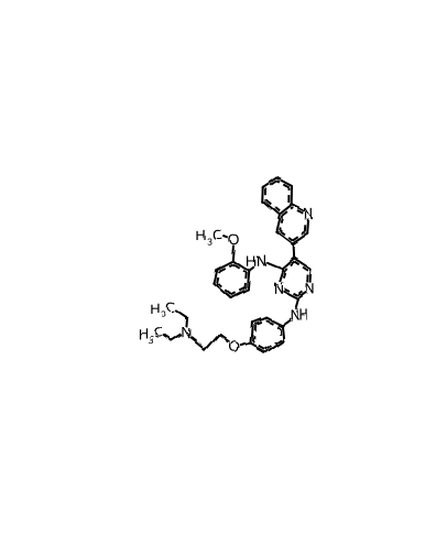 CCN(CC)CCOc1ccc(Nc2ncc(-c3cnc4ccccc4c3)c(Nc3ccccc3OC)n2)cc1